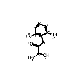 CC(O)C(=O)Cc1c(O)cccc1O